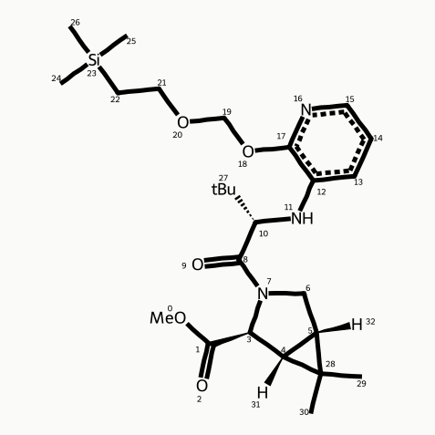 COC(=O)[C@@H]1[C@@H]2[C@H](CN1C(=O)[C@@H](Nc1cccnc1OCOCC[Si](C)(C)C)C(C)(C)C)C2(C)C